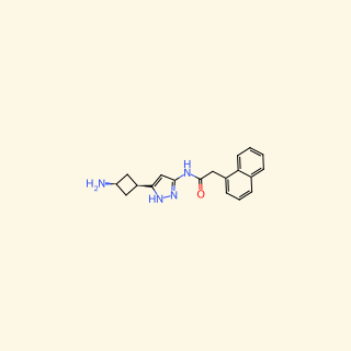 N[C@H]1C[C@@H](c2cc(NC(=O)Cc3cccc4ccccc34)n[nH]2)C1